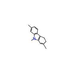 CC1=Cc2c(c3ccc(C)cc3n2C)CC1